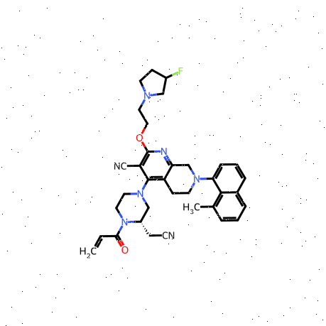 C=CC(=O)N1CCN(c2c(C#N)c(OCCN3CCC(F)C3)nc3c2CCN(c2cccc4cccc(C)c24)C3)C[C@@H]1CC#N